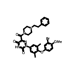 COc1ccc(Oc2c(C)cc(-n3nc(C(=O)N4CCN(CCc5ccccc5)CC4)c(=O)[nH]c3=O)cc2C)cc1Br